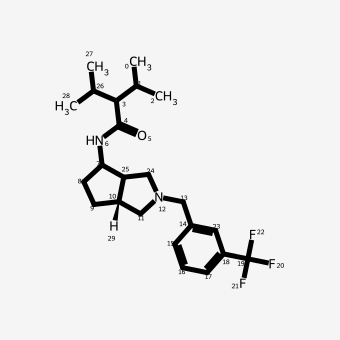 CC(C)C(C(=O)NC1CC[C@H]2CN(Cc3cccc(C(F)(F)F)c3)CC12)C(C)C